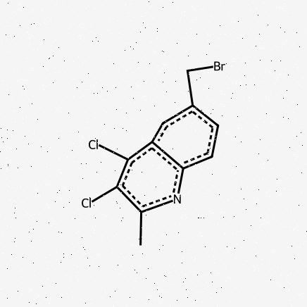 Cc1nc2ccc(CBr)cc2c(Cl)c1Cl